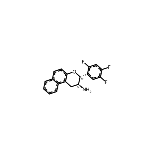 N[C@H]1Cc2c(ccc3ccccc23)O[C@@H]1c1cc(F)c(F)cc1F